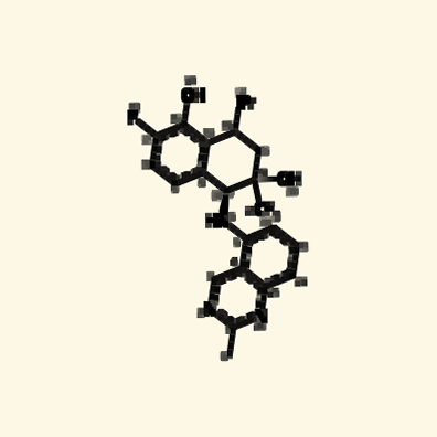 Cc1ncc2c(N[C@H]3c4ccc(F)c(O)c4C(C(C)C)CC3(O)C(F)(F)F)cccc2n1